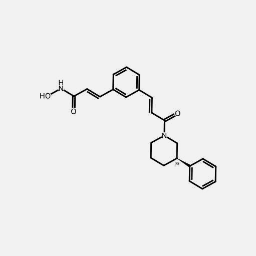 O=C(C=Cc1cccc(C=CC(=O)N2CCC[C@H](c3ccccc3)C2)c1)NO